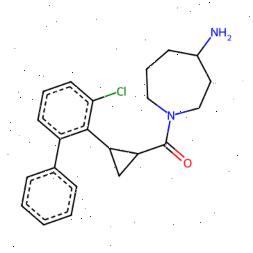 NC1CCCN(C(=O)C2CC2c2c(Cl)cccc2-c2ccccc2)CC1